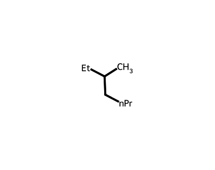 C[CH]CCC(C)CC